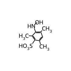 Cc1cc(C)c(S(=O)(=O)O)c(C)c1NO